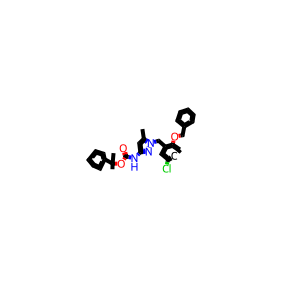 Cc1cc(NC(=O)OC(C)(C)c2ccccc2)nn1Cc1cc(Cl)ccc1OCc1ccccc1